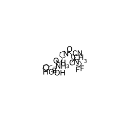 CC(C)(C=C(C#N)C(=O)N1CCC[C@H](CC(=O)N[C@@H](Cc2ccccc2)B(O)O)C1)N1CCC(F)(F)C1